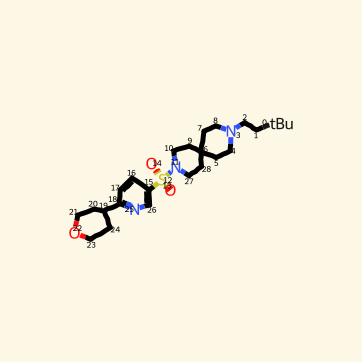 CC(C)(C)CCN1CCC2(CC1)CCN(S(=O)(=O)c1ccc(C3CCOCC3)nc1)CC2